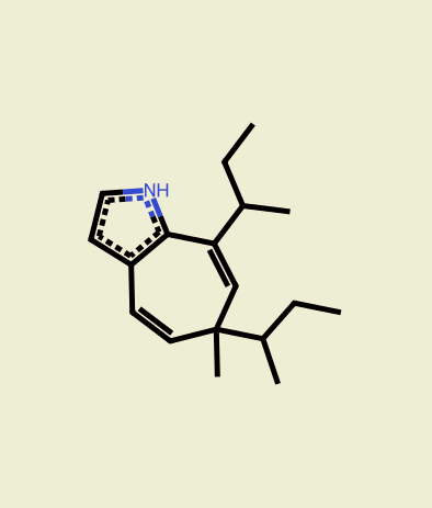 CCC(C)C1=CC(C)(C(C)CC)C=Cc2cc[nH]c21